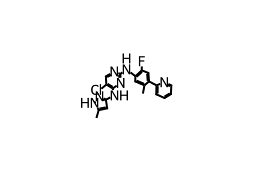 Cc1cc(Nc2nc(Nc3cc(C)c(-c4ccccn4)cc3F)ncc2Cl)n[nH]1